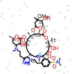 CC[C@H]1OC(=O)[C@H](C)[C@@H](O[C@H]2C[C@@](C)(OC)[C@@H](O)[C@H](C)O2)[C@H](C)[C@@H](O[C@@H]2O[C@H](C)C[C@H](N(C)CCc3cn([C@H](CF)Cc4ccc(S(=O)(=O)N(C)C)cc4)nn3)[C@H]2O)[C@](C)(O)CC[C@@H](C)CN(C)[C@H](C)[C@@H](O)C[C@]1(C)O